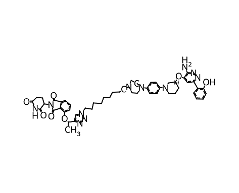 CC(Oc1cccc2c1C(=O)N(C1CCC(=O)NC1=O)C2=O)c1cn(CCCCCCCCCN2CCN(c3ccc(N4CCC[C@H](Oc5cc(-c6ccccc6O)nnc5N)C4)cc3)CC2)nn1